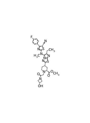 CCc1nc2sc(C3CCN(CC(=O)N4CC(O)C4)[C@H](C(=O)OC)C3)nn2c1N(C)c1nc(-c2ccc(F)cc2)c(C#N)s1